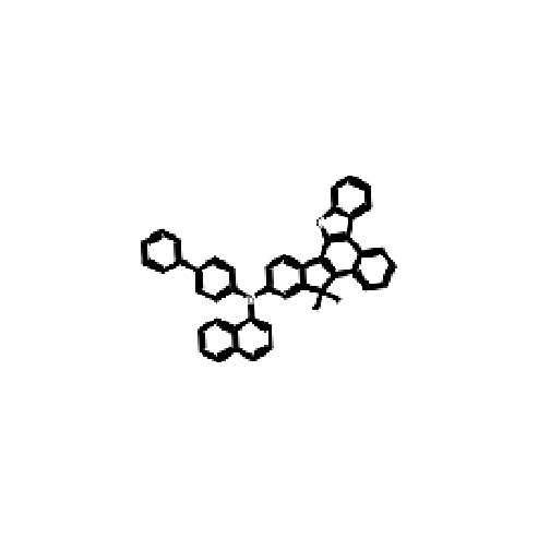 CC1(C)c2cc(N(c3ccc(-c4ccccc4)cc3)c3cccc4ccccc34)ccc2-c2c1c1ccccc1c1c2oc2ccccc21